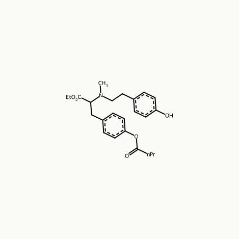 CCCC(=O)Oc1ccc(CC(C(=O)OCC)N(C)CCc2ccc(O)cc2)cc1